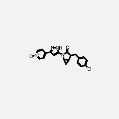 O=C1C(Cc2ccc(Cl)cc2)C2CC2N1c1cc(-c2cc[n+]([O-])cc2)n[nH]1